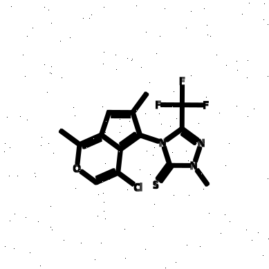 Cc1cc2c(C)occ(Cl)c-2c1-n1c(C(F)(F)F)nn(C)c1=S